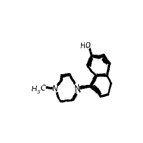 CN1CCN(C2=CCCc3ccc(O)cc32)CC1